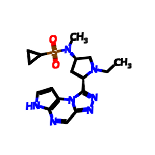 CCN1C[C@H](N(C)S(=O)(=O)C2CC2)C[C@@H]1c1nnc2cnc3[nH]ccc3n12